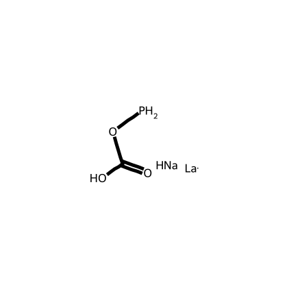 O=C(O)OP.[La].[NaH]